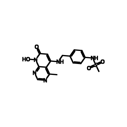 Cc1ncnc2c1c(NCc1ccc(NS(C)(=O)=O)cc1)cc(=O)n2O